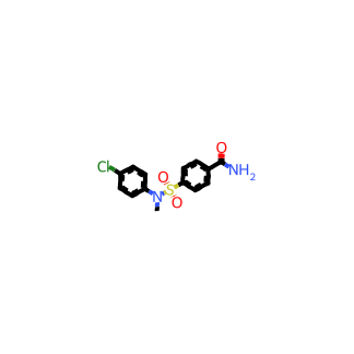 CN(c1ccc(Cl)cc1)S(=O)(=O)c1ccc(C(N)=O)cc1